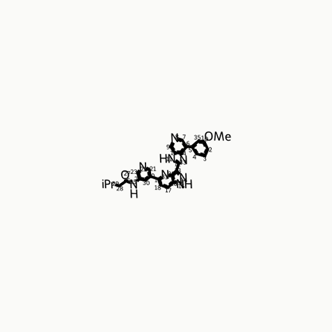 COc1cccc(-c2cncc3[nH]c(-c4n[nH]c5ccc(-c6cncc(NC(=O)CC(C)C)c6)nc45)nc23)c1